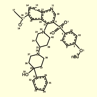 CCCCOc1ccc(S(=O)(=O)c2cnc3ccc([S+](C)[O-])cc3c2N2CCC(N3CCC(O)(c4ccccc4)CC3)CC2)cc1